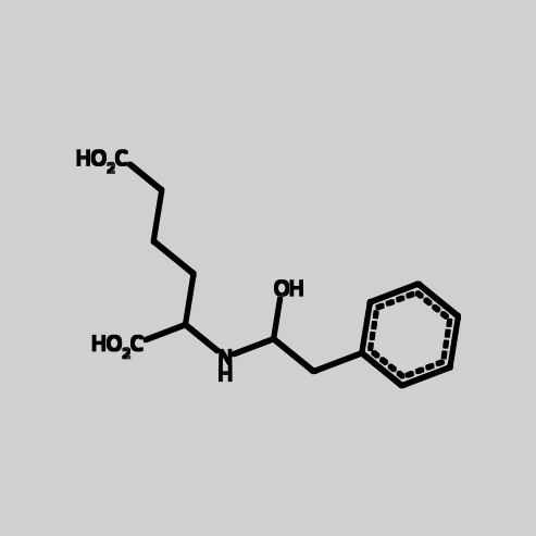 O=C(O)CCCC(NC(O)Cc1ccccc1)C(=O)O